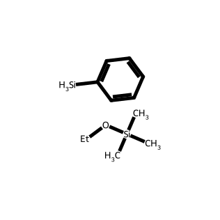 CCO[Si](C)(C)C.[SiH3]c1ccccc1